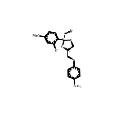 COc1ccc([C@@]2(CBr)OC[C@@H](CSc3ccc(NC(C)=O)cc3)O2)c(Cl)c1